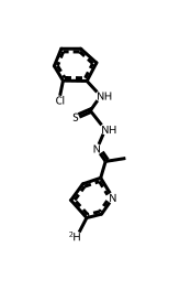 [2H]c1ccc(C(C)=NNC(=S)Nc2ccccc2Cl)nc1